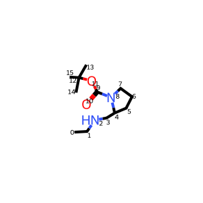 CCNCC1CCCN1C(=O)OC(C)(C)C